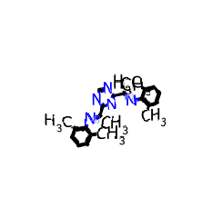 C/C(=N\c1c(C)cccc1C)c1ncnc(/C(C)=N/c2c(C)cccc2C)n1